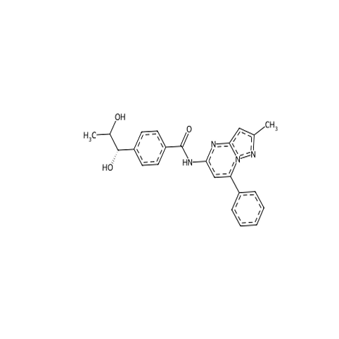 Cc1cc2nc(NC(=O)c3ccc([C@H](O)C(C)O)cc3)cc(-c3ccccc3)n2n1